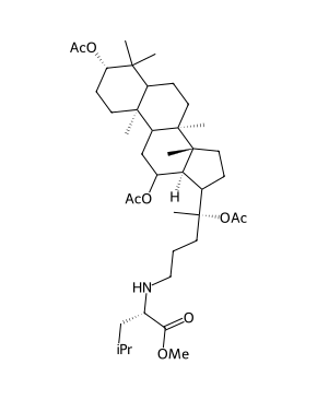 COC(=O)[C@H](CC(C)C)NCCC[C@](C)(OC(C)=O)C1CC[C@]2(C)[C@@H]1C(OC(C)=O)CC1[C@@]3(C)CC[C@H](OC(C)=O)C(C)(C)C3CC[C@]12C